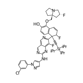 CC(C)[Si](C#CC1(c2ncc3cnc(Nc4cnn(-c5cccc(Cl)c5)c4)nc3c2F)c2ccc(O)c(OC[C@@]34CCCN3C[C@H](F)C4)c2C=CC1F)(C(C)C)C(C)C